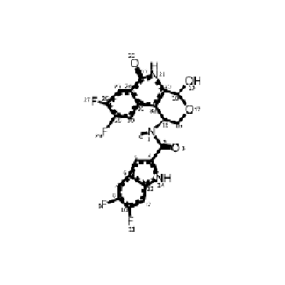 CN(C(=O)c1cc2cc(F)c(F)cc2[nH]1)[C@@H]1CO[C@H](O)c2[nH]c(=O)c3cc(F)c(F)cc3c21